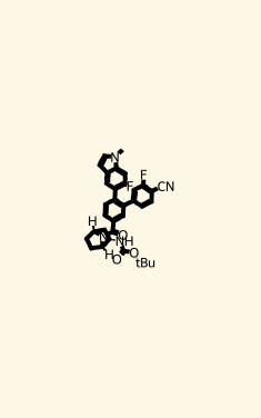 Cn1ccc2cc(-c3ccc(C(=O)N4[C@@H]5CC[C@H]4[C@@H](NC(=O)OC(C)(C)C)C5)cc3-c3ccc(C#N)c(F)c3)c(F)cc21